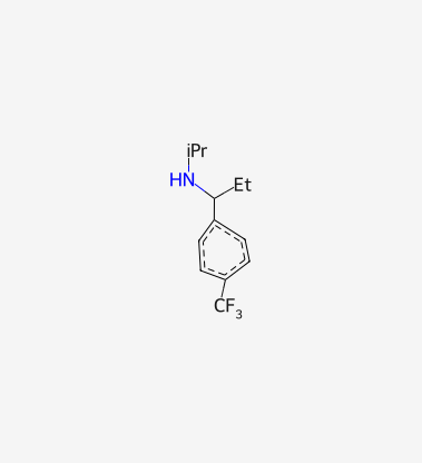 CCC(NC(C)C)c1ccc(C(F)(F)F)cc1